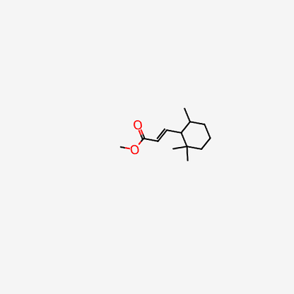 COC(=O)/C=C/C1C(C)CCCC1(C)C